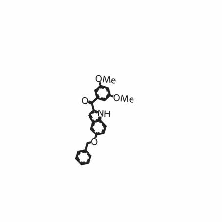 COc1cc(OC)cc(C(=O)c2cc3cc(OCc4ccccc4)ccc3[nH]2)c1